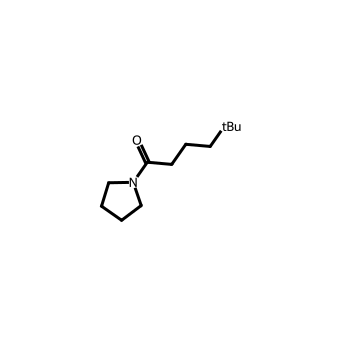 CC(C)(C)CCCC(=O)N1CCCC1